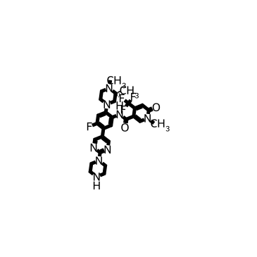 C[C@@H]1CN(c2cc(F)c(-c3cnc(N4CCNCC4)nc3)cc2NC(=O)c2cn(C)c(=O)cc2C(F)(F)F)CCN1C